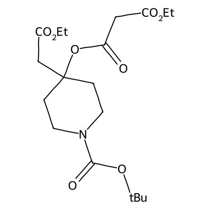 CCOC(=O)CC(=O)OC1(CC(=O)OCC)CCN(C(=O)OC(C)(C)C)CC1